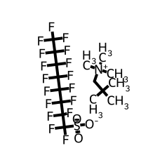 CC(C)(C)C[N+](C)(C)C.O=S(=O)([O-])C(F)(F)C(F)(F)C(F)(F)C(F)(F)C(F)(F)C(F)(F)C(F)(F)C(F)(F)F